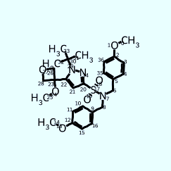 COc1ccc(CN(Cc2ccc(OC)cc2)S(=O)(=O)c2cc(C3(OC)COC3)n(C(C)(C)C)n2)cc1